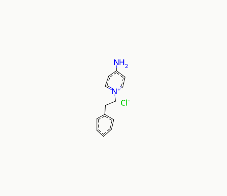 Nc1cc[n+](CCc2ccccc2)cc1.[Cl-]